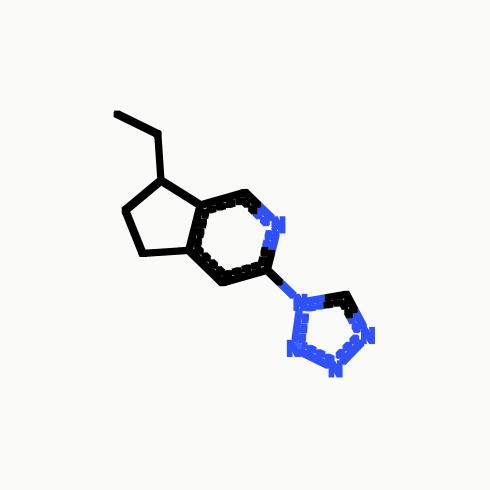 CCC1CCc2cc(-n3cnnn3)ncc21